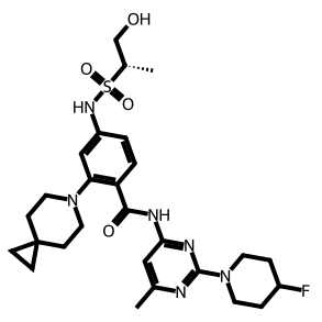 Cc1cc(NC(=O)c2ccc(NS(=O)(=O)[C@@H](C)CO)cc2N2CCC3(CC2)CC3)nc(N2CCC(F)CC2)n1